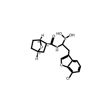 O=C(NC(Cc1coc2c(Cl)cccc12)B(O)O)[C@H]1C[C@@H]2CC[C@H]1O2